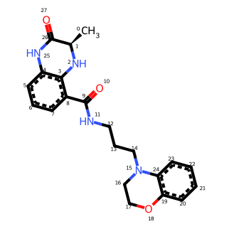 C[C@H]1Nc2c(cccc2C(=O)NCCCN2CCOc3ccccc32)NC1=O